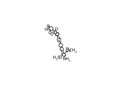 COc1cc(N2CCC3(CCC(N4CCN(c5ccc6c(c5)C(=O)N(C5CCC(=O)NC5=O)C6=O)CC4)CC3)CC2)c(-c2cnn(C)c2)cc1N